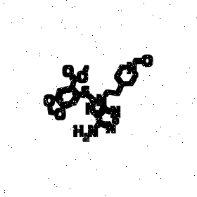 COC(=O)c1cc2c(cc1Sc1nc3c(N)ncnc3n1CCC1CCN(C=O)CC1)OCO2